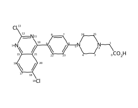 O=C(O)CN1CCN(c2ccc(-c3nc(Cl)nc4ccc(Cl)cc34)cc2)CC1